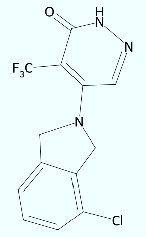 O=c1[nH]ncc(N2Cc3cccc(Cl)c3C2)c1C(F)(F)F